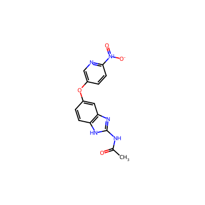 CC(=O)Nc1nc2cc(Oc3ccc([N+](=O)[O-])nc3)ccc2[nH]1